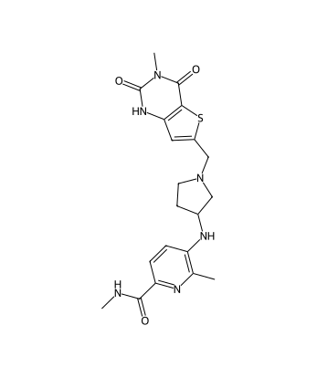 CNC(=O)c1ccc(NC2CCN(Cc3cc4[nH]c(=O)n(C)c(=O)c4s3)C2)c(C)n1